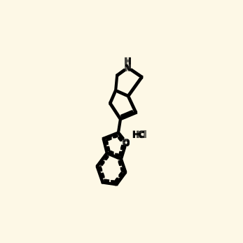 C1=C(c2cc3ccccc3o2)CC2CNCC12.Cl